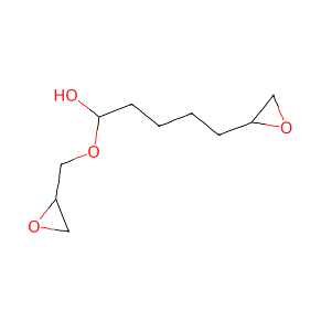 OC(CCCCC1CO1)OCC1CO1